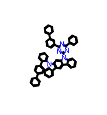 c1ccc(-c2ccc(-c3ccccc3-n3c4ccccc4c4cc5c6ccccc6n(-c6nc(-c7ccccc7)nc(-c7cccc(-c8ccccc8)c7)n6)c5cc43)cc2)cc1